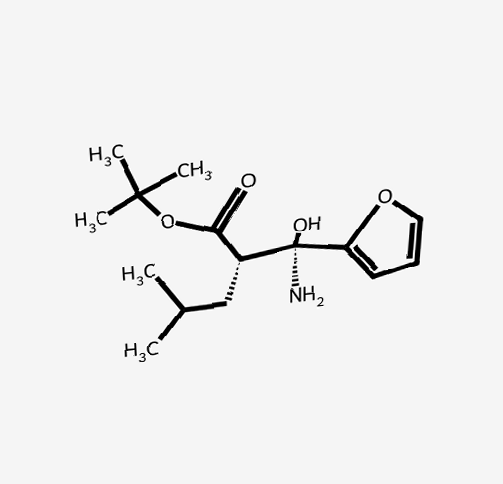 CC(C)C[C@H](C(=O)OC(C)(C)C)[C@@](N)(O)c1ccco1